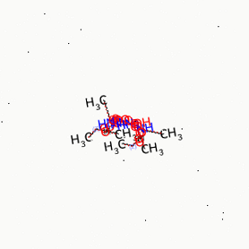 CCCCCC/C=C\CCCC(=O)O[C@H](CCCCCCC)CCOCC(COP(=O)(O)OCCNC(=O)CC(=O)NCCOP(=O)(O)OCC(COCC[C@@H](CCCCCCC)OC(=O)CCC/C=C\CCCCCC)NC(=O)CCCCCCCCCCCCC)NC(=O)CCCCCCCCCCCCC